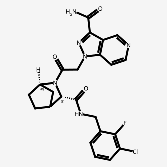 NC(=O)c1nn(CC(=O)N2[C@@H]3CCC(C3)[C@H]2C(=O)NCc2cccc(Cl)c2F)c2ccncc12